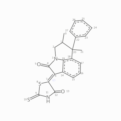 CC1CN2C(=O)/C(=C3\SC(=S)NC3=O)c3cccc(c32)C1(C)c1ccccc1